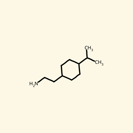 CC(C)C1CCC(CCN)CC1